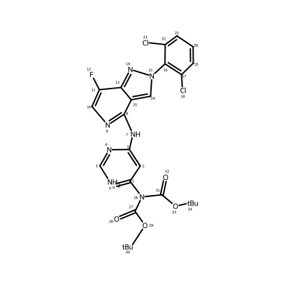 C=C(/C=C(\N=C/N)Nc1ncc(F)c2nn(-c3c(Cl)cccc3Cl)cc12)N(C(=O)OC(C)(C)C)C(=O)OC(C)(C)C